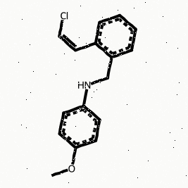 COc1ccc(NCc2ccccc2/C=C\Cl)cc1